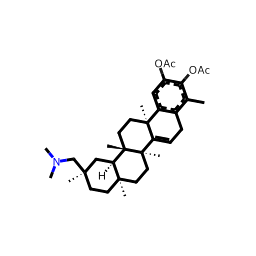 CC(=O)Oc1cc2c(c(C)c1OC(C)=O)CC=C1[C@@]2(C)CC[C@@]2(C)[C@@H]3C[C@](C)(CN(C)C)CC[C@]3(C)CC[C@]12C